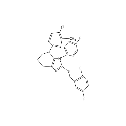 Cc1cc(C2CCCc3nc(SCc4cc(F)ccc4F)n(-c4ccc(F)cc4)c32)ccc1Cl